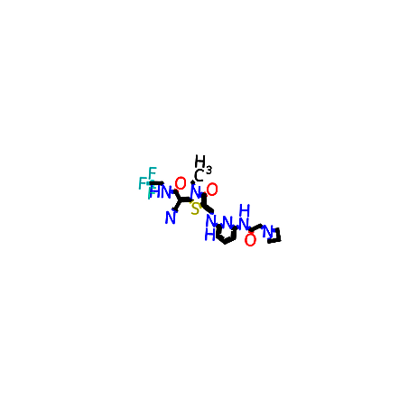 CCn1c(=C(C#N)C(=O)NCC(F)(F)F)sc(=CNc2cccc(NC(=O)CN3CCC3)n2)c1=O